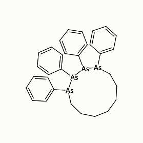 c1ccc([As]2CCCCCCC[As](c3ccccc3)[As](c3ccccc3)[As]2c2ccccc2)cc1